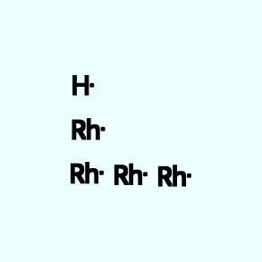 [H].[Rh].[Rh].[Rh].[Rh]